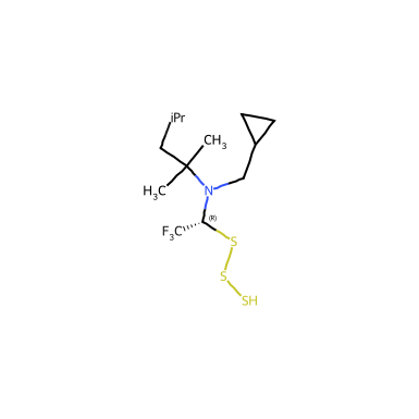 CC(C)CC(C)(C)N(CC1CC1)[C@H](SSS)C(F)(F)F